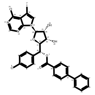 O=C(O[C@H](c1ccc(Cl)cc1)[C@H]1O[C@@H](n2cc(I)c3c(Cl)ncnc32)[C@H](O)[C@@H]1O)c1ccc(-c2ccccc2)cc1